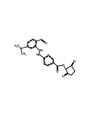 CN(C)c1ccc(C=O)c(NNc2ccc(C(=O)ON3C(=O)CCC3=O)cn2)c1